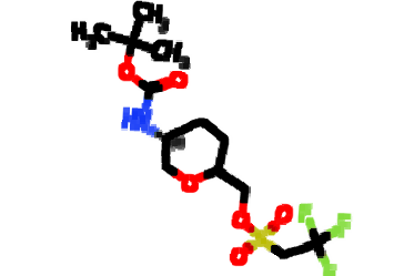 CC(C)(C)OC(=O)N[C@@H]1CCC(COS(=O)(=O)CC(F)(F)F)OC1